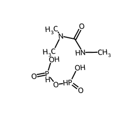 CNC(=O)N(C)C.O=[PH](O)O[PH](=O)O